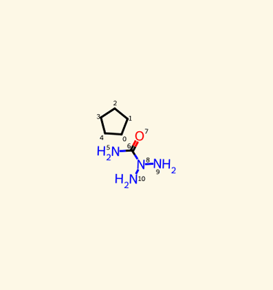 C1CCCC1.NC(=O)N(N)N